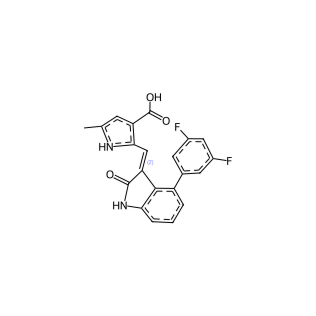 Cc1cc(C(=O)O)c(/C=C2\C(=O)Nc3cccc(-c4cc(F)cc(F)c4)c32)[nH]1